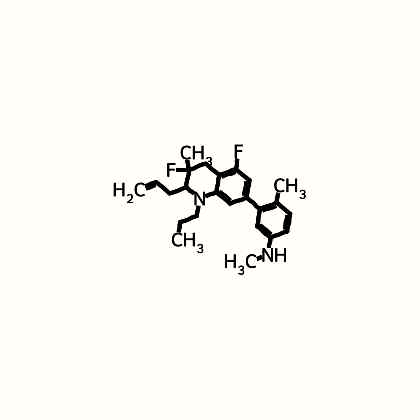 C=CCC1N(CCC)c2cc(-c3cc(NC)ccc3C)cc(F)c2CC1(C)F